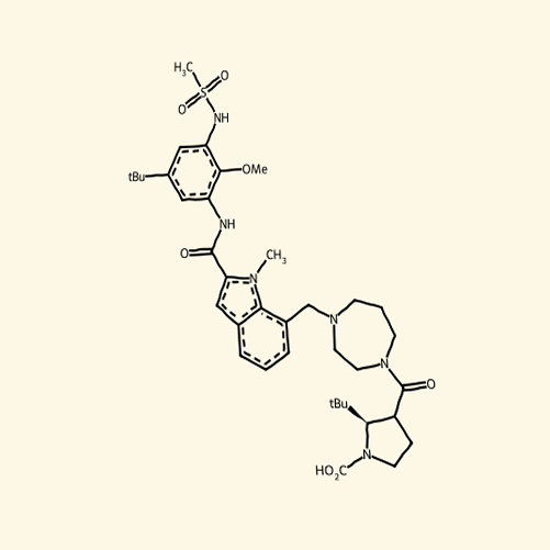 COc1c(NC(=O)c2cc3cccc(CN4CCCN(C(=O)C5CCN(C(=O)O)[C@H]5C(C)(C)C)CC4)c3n2C)cc(C(C)(C)C)cc1NS(C)(=O)=O